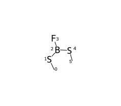 CSB(F)SC